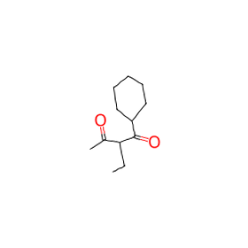 CCC(C(C)=O)C(=O)C1CCCCC1